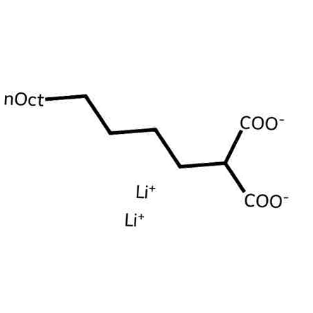 CCCCCCCCCCCCC(C(=O)[O-])C(=O)[O-].[Li+].[Li+]